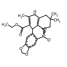 CCOC(=O)C1=C(C)NC2=C(C(=O)CC(C)(C)C2)C1c1cc2c(cc1[N+](=O)[O-])OCO2